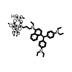 CCN(CC)c1ccc(C(c2ccc(N(CC)CC)cc2)c2ccc(N(CC)CCC[Si]34O[Si](O)(OC)O[Si](OC)(O3)O[Si](OC)(OC)O4)c3ccccc23)cc1